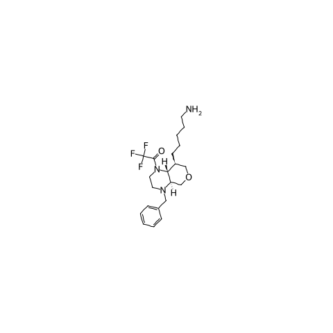 NCCCCC[C@H]1COC[C@@H]2[C@@H]1N(C(=O)C(F)(F)F)CCN2Cc1ccccc1